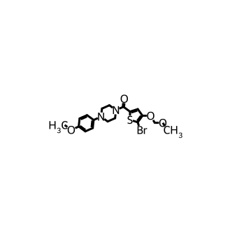 COCOc1cc(C(=O)N2CCN(c3ccc(OC)cc3)CC2)sc1Br